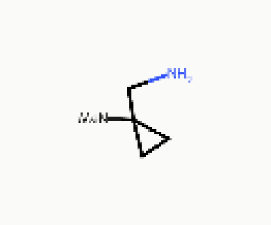 CNC1(CN)CC1